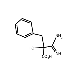 N=C(N)C(O)(Cc1ccccc1)C(=O)O